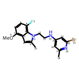 COc1ccc(F)c2c1cc(C)n2CCNc1cc(C)nc(Br)c1